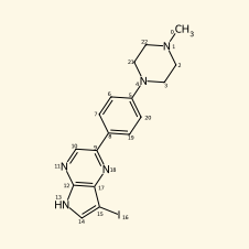 CN1CCN(c2ccc(-c3cnc4[nH]cc(I)c4n3)cc2)CC1